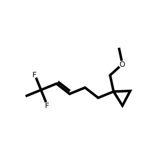 COCC1(CC/C=C/C(C)(F)F)CC1